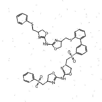 O=S(=O)(CC1COC(NC2=NC(CS(=O)(=O)c3cccc(-c4ccccc4SCC4COC(NC5=NC(CSc6ccccc6)CO5)=N4)c3)CO2)=N1)c1ccccc1